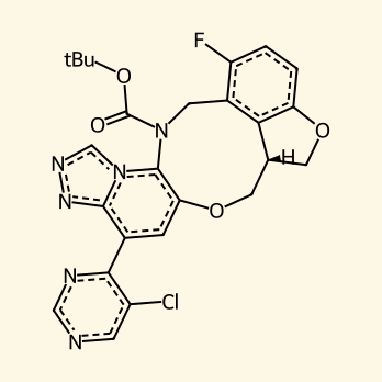 CC(C)(C)OC(=O)N1Cc2c(F)ccc3c2[C@H](CO3)COc2cc(-c3ncncc3Cl)c3nncn3c21